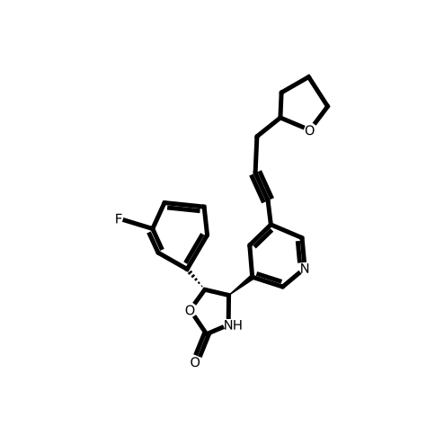 O=C1N[C@H](c2cncc(C#CCC3CCCO3)c2)[C@@H](c2cccc(F)c2)O1